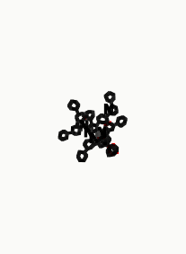 c1ccc(-c2ccc3c(c2)c2cc(-c4ccccc4)ccc2n3-c2nc(-n3c4ccc(-c5ccccc5)cc4c4cc(-c5ccccc5)ccc43)c(-n3c4ccc(-c5ccccc5)cc4c4cc(-c5ccccc5)ccc43)c(-c3ccc(-c4cccc(-c5ccccc5)n4)cc3)c2-c2ccccc2)cc1